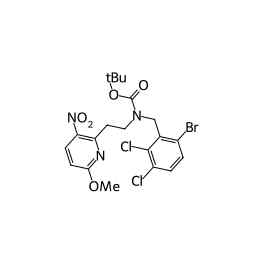 COc1ccc([N+](=O)[O-])c(CCN(Cc2c(Br)ccc(Cl)c2Cl)C(=O)OC(C)(C)C)n1